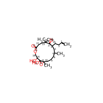 C=CCCC1CC(C)CCCC2(C)OC2(O)C(O)COC(=O)CCC(C)(C)C1=O